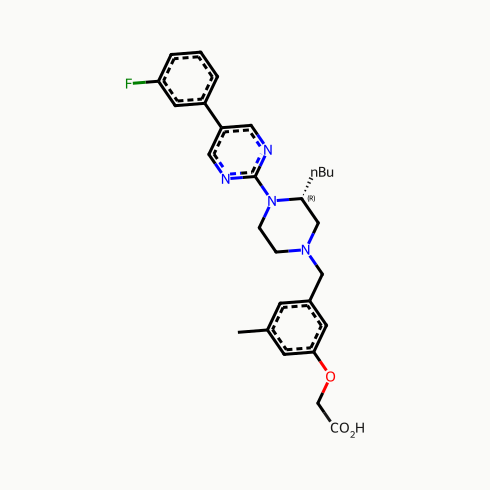 CCCC[C@@H]1CN(Cc2cc(C)cc(OCC(=O)O)c2)CCN1c1ncc(-c2cccc(F)c2)cn1